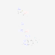 O=C(CNc1ncnc2ccc(C(F)(F)F)cc12)NC1CN(C2CCC(O)(c3ccns3)CC2)C1